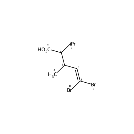 CC(C)C(C(=O)O)C(C)C=C(Br)Br